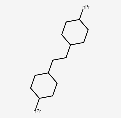 CCCC1CCC(CCC2CCC(CCC)CC2)CC1